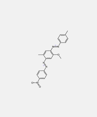 COc1cc(/N=N/c2ccc([N+](=O)[O-])cc2)c(C)cc1/N=N/c1ccc(C)cc1